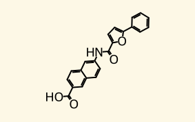 O=C(O)c1ccc2cc(NC(=O)c3ccc(-c4ccccc4)o3)ccc2c1